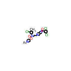 CC(=O)N1CCC(OC(=O)N(CCCN2CC3CN(C(=O)c4cc(Cl)ccc4Cl)CC3C2)c2ccc(C)c(Cl)c2)CC1